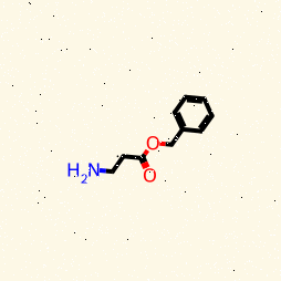 NC[CH]C(=O)OCc1ccccc1